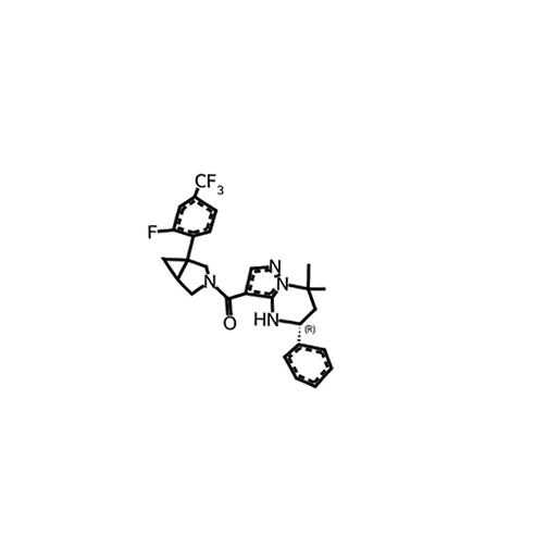 CC1(C)C[C@H](c2ccccc2)Nc2c(C(=O)N3CC4CC4(c4ccc(C(F)(F)F)cc4F)C3)cnn21